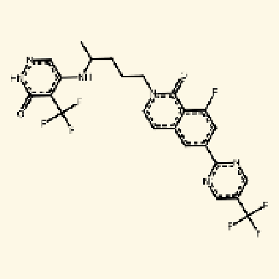 CC(CCCn1ccc2cc(-c3ncc(C(F)(F)F)cn3)cc(F)c2c1=O)Nc1cn[nH]c(=O)c1C(F)(F)F